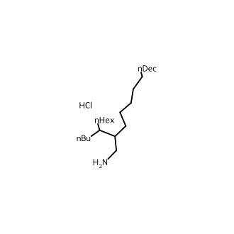 CCCCCCCCCCCCCCCC(CN)C(CCCC)CCCCCC.Cl